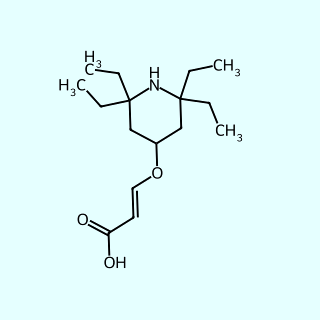 CCC1(CC)CC(OC=CC(=O)O)CC(CC)(CC)N1